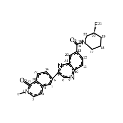 Cn1ccc2cc(-c3cnc4ccc(C(=O)N5CCC[C@H](F)C5)cc4n3)ccc2c1=O